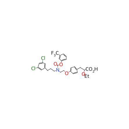 CCOC(Cc1ccc(OCCN(CCCc2cc(Cl)cc(Cl)c2)C(=O)Oc2cccc(C(F)(F)F)c2)cc1)C(=O)O